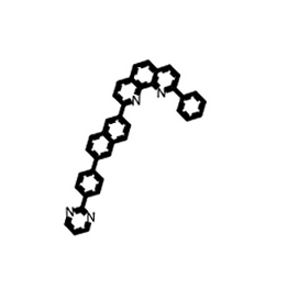 c1ccc(-c2ccc3ccc4ccc(-c5ccc6cc(-c7ccc(-c8ncccn8)cc7)ccc6c5)nc4c3n2)cc1